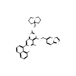 Fc1cccc2cccc(-c3cc4nc(OCC56CCCN5CCC6)nc(NCc5ccc6nccn6c5)c4c(F)n3)c12